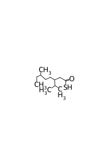 CCC(C)CCC(CC(=O)S)C(C)C